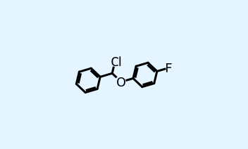 Fc1ccc(OC(Cl)c2ccccc2)cc1